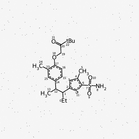 CCC(c1cc(C)c(S(N)(=O)=O)s1)C(C)c1ccc(OCC(=O)C(C)(C)C)c(C)c1